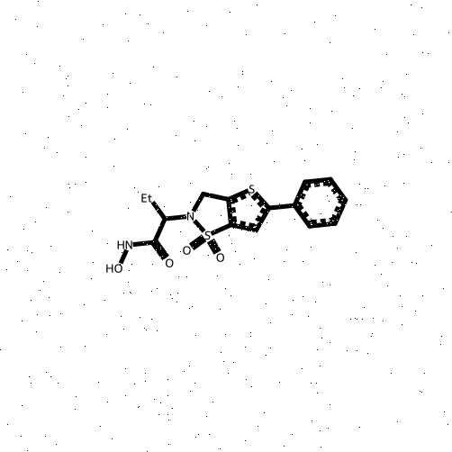 CCC(C(=O)NO)N1Cc2sc(-c3ccccc3)cc2S1(=O)=O